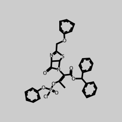 CC(OP(=O)(Cl)Oc1ccccc1)=C(C(=O)OC(c1ccccc1)c1ccccc1)N1C(=O)C2N=C(COc3ccccc3)SC21